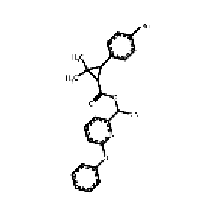 CCC(C)c1ccc(C2C(C(=O)OC(C#N)c3cccc(Oc4ccccc4)n3)C2(C)C)cc1